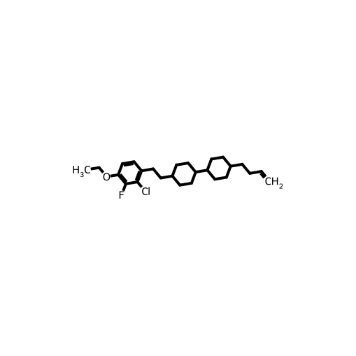 C=CCCC1CCC(C2CCC(CCc3ccc(OCC)c(F)c3Cl)CC2)CC1